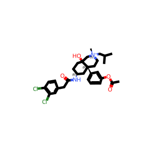 CC(=O)Oc1cccc([C@]23CC[N@@+](C)(CC(C)C)CC2(O)CC[C@@H](NC(=O)Cc2ccc(Cl)c(Cl)c2)C3)c1